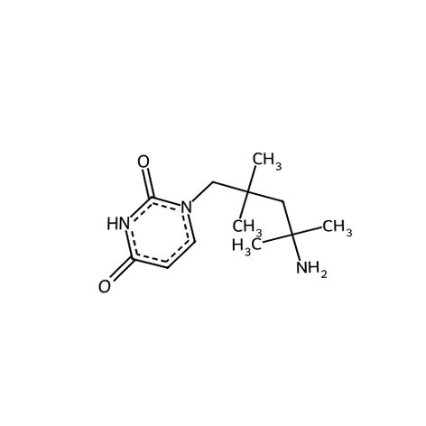 CC(C)(N)CC(C)(C)Cn1ccc(=O)[nH]c1=O